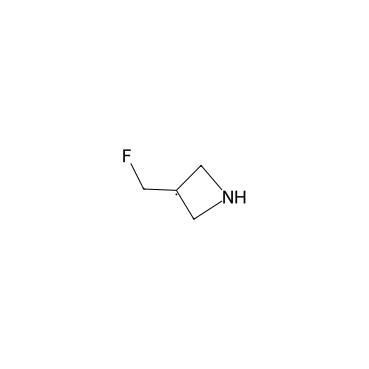 FC[C]1CNC1